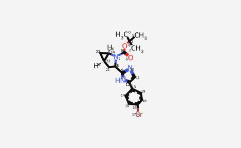 CC(C)(C)OC(=O)N1C(c2ncc(-c3ccc(Br)cc3)[nH]2)C[C@H]2C[C@H]21